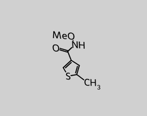 CONC(=O)c1csc(C)c1